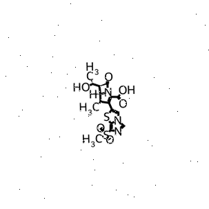 CC1C(c2cn3cnc(S(C)(=O)=O)c3s2)=C(C(=O)O)N2C(=O)[C@H]([C@@H](C)O)[C@H]12